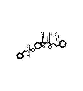 CCOc1ccccc1CCC(=O)Nc1sc2c(c1C#N)CCC(OC(=O)NCc1ccccc1)C2